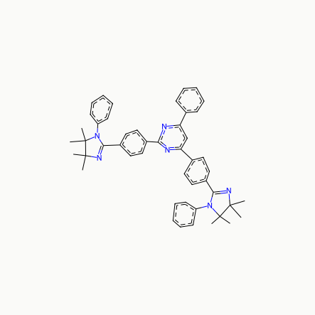 CC1(C)N=C(c2ccc(-c3cc(-c4ccccc4)nc(-c4ccc(C5=NC(C)(C)C(C)(C)N5c5ccccc5)cc4)n3)cc2)N(c2ccccc2)C1(C)C